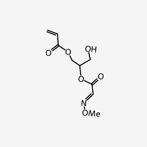 C=CC(=O)OCC(CO)OC(=O)C=NOC